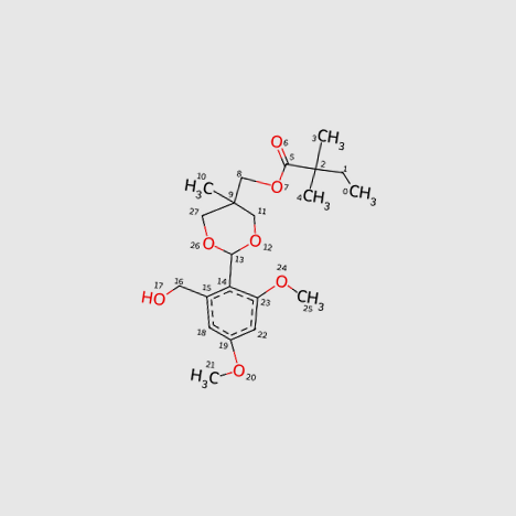 CCC(C)(C)C(=O)OCC1(C)COC(c2c(CO)cc(OC)cc2OC)OC1